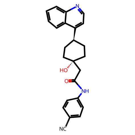 N#Cc1ccc(NC(=O)C[C@]2(O)CC[C@H](c3ccnc4ccccc43)CC2)cc1